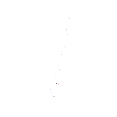 CCCCCC=CCCC=CC(=O)NC(C)C